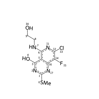 CSc1nc(O)c2c(NCCO)nc(Cl)c(F)c2n1